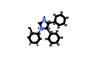 [CH2]c1ccccc1-n1cnc(-c2ccccc2)c1-c1ccccc1